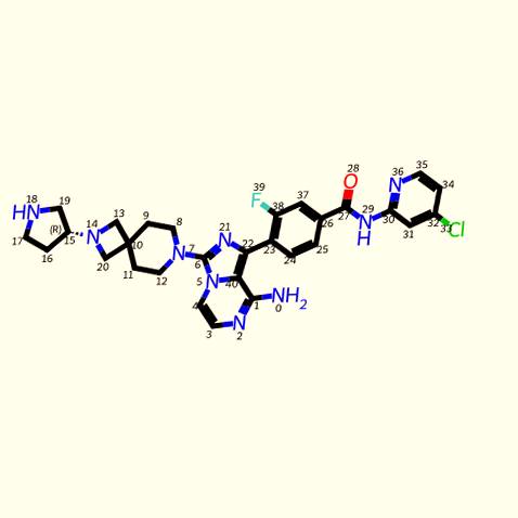 Nc1nccn2c(N3CCC4(CC3)CN([C@@H]3CCNC3)C4)nc(-c3ccc(C(=O)Nc4cc(Cl)ccn4)cc3F)c12